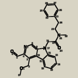 COCc1c(C=O)ncc2c1c1ccccc1n2CC(=O)N(C)CCc1ccccc1